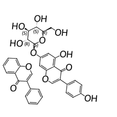 O=c1c(-c2ccc(O)cc2)coc2cc(O[C@@H]3O[C@H](CO)[C@@H](O)[C@H](O)[C@H]3O)cc(O)c12.O=c1c(-c2ccccc2)coc2ccccc12